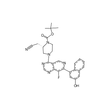 CC(C)(C)OC(=O)N1CCN(c2ncnc3c(F)c(-c4cc(O)cc5ccccc45)ncc23)C[C@@H]1CC#N